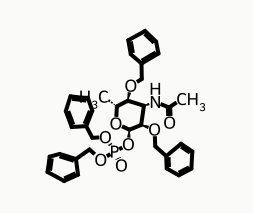 CC(=O)N[C@@H]1[C@@H](OCc2ccccc2)[C@@H](OP(=O)(OCc2ccccc2)OCc2ccccc2)O[C@H](C)[C@H]1OCc1ccccc1